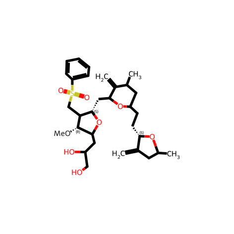 C=C1C(C)CC(CC[C@@H]2OC(C)CC2=C)OC1C[C@@H]1OC(CC(O)CO)[C@H](OC)C1CS(=O)(=O)c1ccccc1